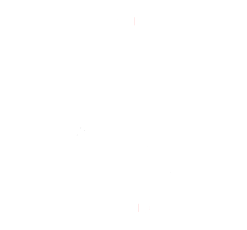 OCC1CCC(CO)CC1.[Zn]